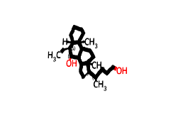 CC[C@@H]1[C@H](O)C2C3CC[C@H]([C@H](C)CCCO)[C@@]3(C)CCC2[C@@]2(C)CCCC[C@@H]12